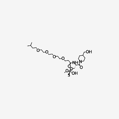 COP(O)(=S)OC[C@H](NC(=O)CCOCCOCCOCCOCCC(C)C)C(=O)N1CCC(CO)CC1